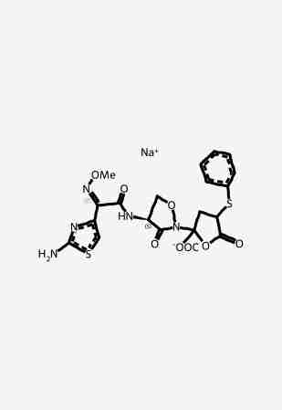 CO/N=C(\C(=O)N[C@H]1CON(C2(C(=O)[O-])CC(Sc3ccccc3)C(=O)O2)C1=O)c1csc(N)n1.[Na+]